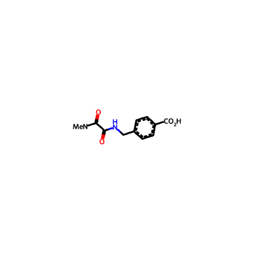 CNC(=O)C(=O)NCc1ccc(C(=O)O)cc1